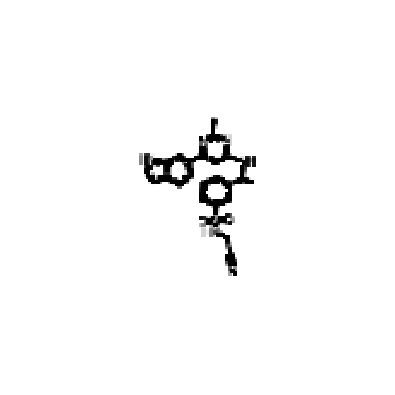 Cc1nc(NC(C)c2cccc(S(=O)(=O)NCC#N)c2)cc(-c2ccc3cc[nH]c3c2)n1